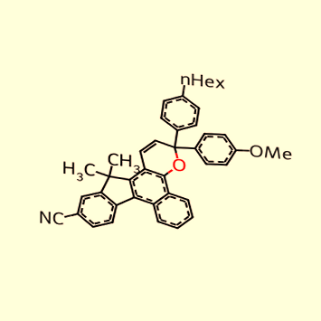 CCCCCCc1ccc(C2(c3ccc(OC)cc3)C=Cc3c4c(c5ccccc5c3O2)-c2ccc(C#N)cc2C4(C)C)cc1